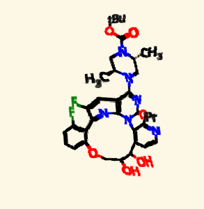 CC(C)c1nccc2c1-n1c(=O)nc(N3C[C@@H](C)N(C(=O)OC(C)(C)C)C[C@@H]3C)c3cc(F)c(nc31)-c1c(F)cccc1OCC(O)C2O